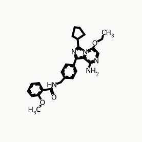 CCOc1cnc(N)c2c(-c3ccc(CNC(=O)c4ccccc4OC)cc3)nc(C3CCCC3)n12